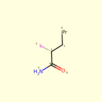 CC(C)C[C@@H](I)C(N)=O